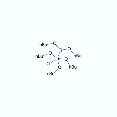 CCCC[O][Ti]([O]CCCC)[Ti]([Cl])([O]CCCC)([O]CCCC)[O]CCCC